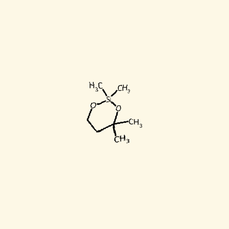 CC1(C)CCO[Si](C)(C)O1